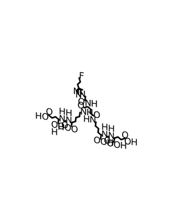 O=C(O)CCC(NC(=O)NC(CCCCNC(=O)CCC(NC(=O)Cn1cc(CCCF)nn1)C(=O)NCCCCC(NC(=O)NC(CCC(=O)O)C(=O)O)C(=O)O)C(=O)O)C(=O)O